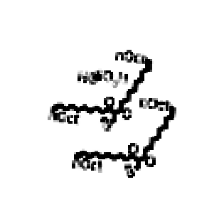 CCCCCCCC/C=C\CCCCCCCC(=O)C(CN(C)C)C(=O)CCCCCCC/C=C\CCCCCCCC.CCCCCCCC/C=C\CCCCCCCC(=O)C(CN(C)C)C(=O)CCCCCCC/C=C\CCCCCCCC.O=S(=O)(O)O